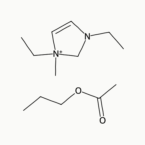 CCCOC(C)=O.CCN1C=C[N+](C)(CC)C1